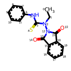 CCN(C(=S)Nc1ccccc1)N1C(=O)c2ccccc2C1=O